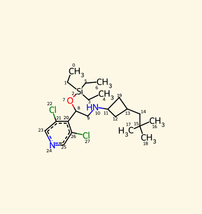 CC[Si](CC)(CC)OC(CNC1CC(CC(C)(C)C)C1)c1c(Cl)cncc1Cl